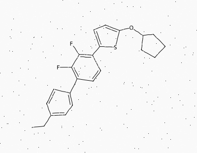 CCc1ccc(-c2ccc(-c3ccc(OC4CCCC4)s3)c(F)c2F)cc1